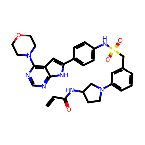 C=CC(=O)NC1CCN(c2cccc(CS(=O)(=O)Nc3ccc(-c4cc5c(N6CCOCC6)ncnc5[nH]4)cc3)c2)C1